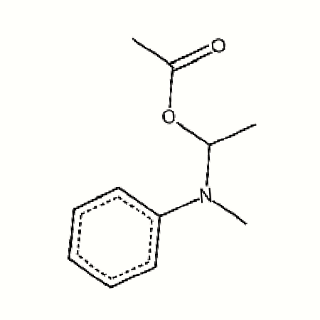 CC(=O)OC(C)N(C)c1ccccc1